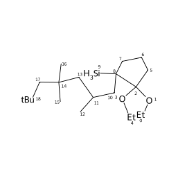 CCOC1(OCC)CCCC1([SiH3])CC(C)CC(C)(C)CC(C)(C)C